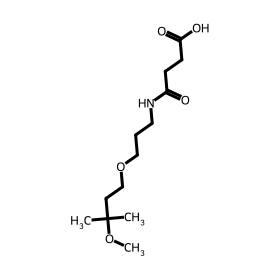 COC(C)(C)CCOCCCNC(=O)CCC(=O)O